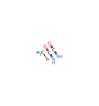 CBr.N=C=O.N=C=O